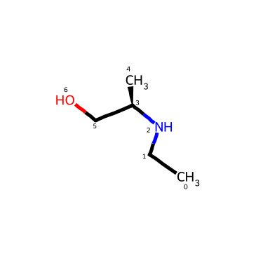 CCN[C@H](C)CO